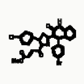 COC(=O)/C=C/C(=O)N1N=C(c2c(-c3ccc(Br)cc3)c3ccccc3[nH]c2=O)CC1c1ccc(Cl)cc1